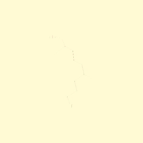 C[CH]CCCC(C)CCCC(C)CCCC(C)C